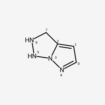 c1cc2n(n1)NNC2